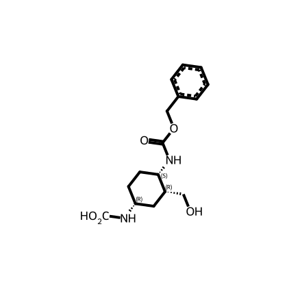 O=C(O)N[C@@H]1CC[C@H](NC(=O)OCc2ccccc2)[C@H](CO)C1